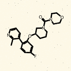 Cc1ncccc1-c1[c]cc(F)cc1OC1CCCN(C(=O)N2CCOCC2)C1